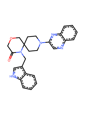 O=C1COCC2(CCN(c3cnc4ccccc4n3)CC2)N1Cc1c[nH]c2ccccc12